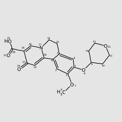 COc1cc2c(cc1OC1CCOCC1)CCn1cc(C(=O)O)c(=O)cc1-2